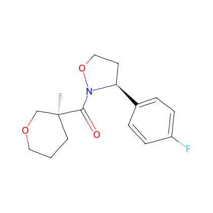 C[C@]1(C(=O)N2OCC[C@H]2c2ccc(F)cc2)CCCOC1